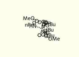 CCCC(=O)NCCCCC(CN(Cc1ccccc1OCOCCOC)CP(=O)(OC(C)(C)C)OC(C)(C)C)N(Cc1ccccc1OCOCCOC)CP(=O)(OC(C)(C)C)OC(C)(C)C